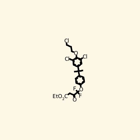 CCOC(=O)CC(=O)C(F)(F)Oc1ccc(C(C)(C)c2cc(Cl)c(OCCCCl)c(Cl)c2)cc1